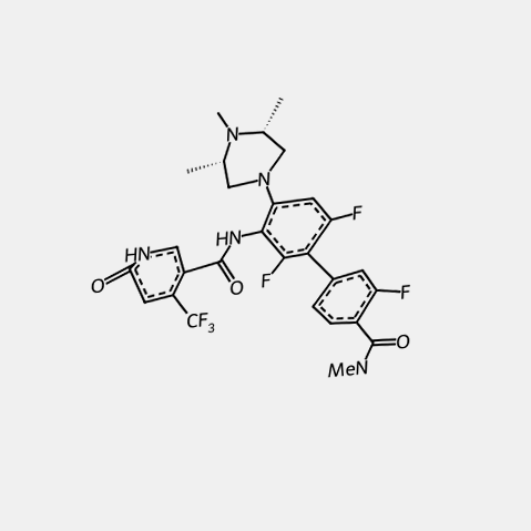 CNC(=O)c1ccc(-c2c(F)cc(N3C[C@@H](C)N(C)[C@@H](C)C3)c(NC(=O)c3c[nH]c(=O)cc3C(F)(F)F)c2F)cc1F